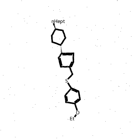 CCCCCCC[C@H]1CC[C@H](c2ccc(CSc3ccc(OCC)cc3)cc2)CC1